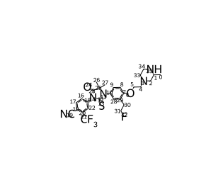 CC1CN(CCOc2ccc(N3C(=S)N(c4ccc(C#N)c(C(F)(F)F)c4)C(=O)C3(C)C)cc2CCF)CCN1